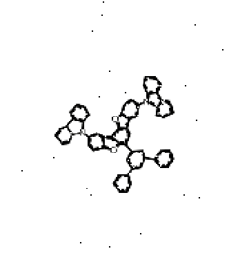 C1=CC2c3ccccc3N(c3ccc4oc5c(-c6cc(-c7ccccc7)cc(-c7ccccc7)c6)cc6c7cc(-n8c9ccccc9c9ccccc98)ccc7oc6c5c4c3)C2C=C1